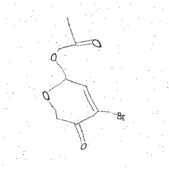 CC(=O)OC1C=C(Br)C(=O)CO1